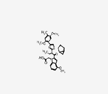 C1CC2CC2C1.CCN(C(=O)c1cc2c(OC)cccc2n1CC(=O)O)c1nc(-c2cc(OC)c(C)cc2OC)cs1